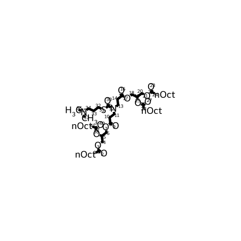 CCCCCCCCC(=O)OCC(COC(=O)CCN(CCC(=O)OCC(COC(=O)CCCCCCCC)OC(=O)CCCCCCCC)C(=O)SCCCN(C)C)OC(=O)CCCCCCCC